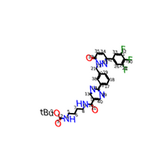 CC(C)(C)OC(=O)NCCCCNC(=O)c1cnc(-c2cccc(Cn3nc(-c4cc(F)c(F)c(F)c4)ccc3=O)c2)nc1